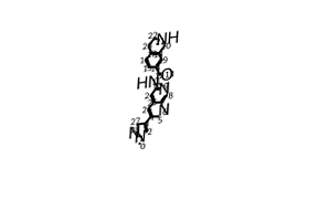 Cn1cc(-c2cnc3cnc(NC(=O)c4ccc5c(c4)CNCC5)cc3c2)cn1